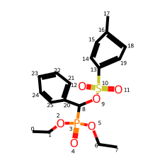 CCOP(=O)(OCC)C(OS(=O)(=O)c1ccc(C)cc1)c1ccccc1